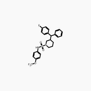 O=S(=O)(Nc1ccc(OC(F)(F)F)cc1)N1CCCC(C(c2ccccc2)c2ccc(F)cc2)C1